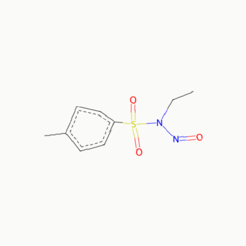 CCN(N=O)S(=O)(=O)c1ccc(C)cc1